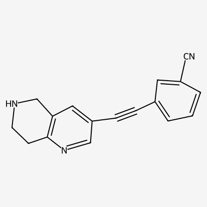 N#Cc1cccc(C#Cc2cnc3c(c2)CNCC3)c1